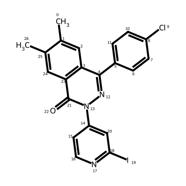 Cc1cc2c(-c3ccc(Cl)cc3)nn(-c3ccnc(I)c3)c(=O)c2cc1C